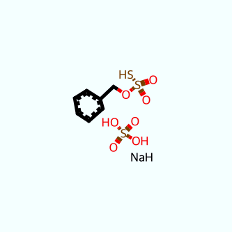 O=S(=O)(O)O.O=S(=O)(S)OCc1ccccc1.[NaH]